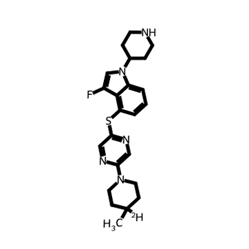 [2H]C1(C)CCN(c2cnc(Sc3cccc4c3c(F)cn4C3CCNCC3)cn2)CC1